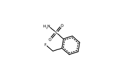 NS(=O)(=O)c1ccccc1CF